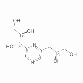 OC[C@@H](O)Cc1cncc([C@H](O)[C@H](O)CO)n1